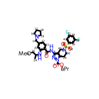 CCCOC(=O)n1nc(NC(=O)c2ccc(CN3CCCC3)cc2NC(C)COC)c2c1CCN(S(=O)(=O)c1cc(F)cc(F)c1)C2